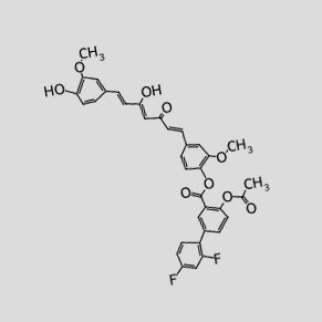 COc1cc(/C=C/C(O)=C/C(=O)/C=C/c2ccc(OC(=O)c3cc(-c4ccc(F)cc4F)ccc3OC(C)=O)c(OC)c2)ccc1O